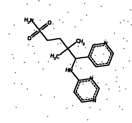 CC(C)(CCS(N)(=O)=O)C(Nc1ccncn1)c1cccnc1